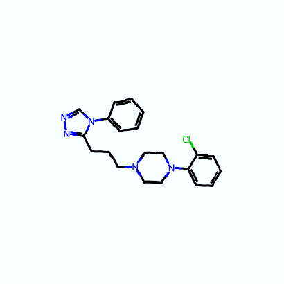 Clc1ccccc1N1CCN(CCCc2nncn2-c2ccccc2)CC1